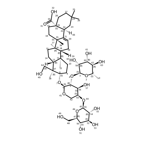 C[C@@H]1O[C@@H](O[C@H]2[C@H](O[C@H]3CC[C@@]4(C)[C@@H](CC[C@]5(C)[C@@H]4CC=C4[C@@H]6CC(C)(C)CC[C@]6(C(=O)O)CC[C@]45C)[C@]3(C)CO)OC[C@H](O[C@@H]3O[C@H](CO)[C@@H](O)[C@H](O)[C@H]3O)[C@@H]2O)[C@H](O)[C@H](O)[C@H]1O